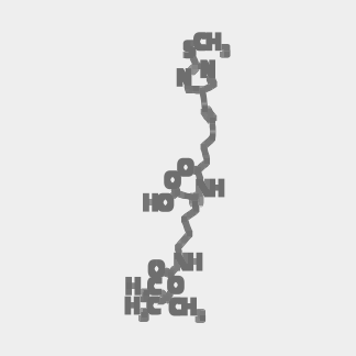 CSc1ncc(C#CCCCC(=O)N[C@@H](CCCCNC(=O)OC(C)(C)C)C(=O)O)cn1